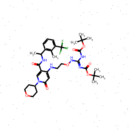 Cc1c(C(C)NC(=O)c2cn(C3CCOCC3)c(=O)cc2NCCONC(=NC(=O)OC(C)(C)C)NC(=O)OC(C)(C)C)cccc1C(F)(F)F